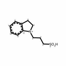 O=S(=O)(O)CCCN1CCc2ccccc21